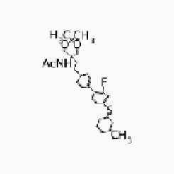 CC(=O)NC1(CCc2ccc(-c3ccc(Sc4cccc(C)c4)cc3F)cc2)COC(C)(C)OC1